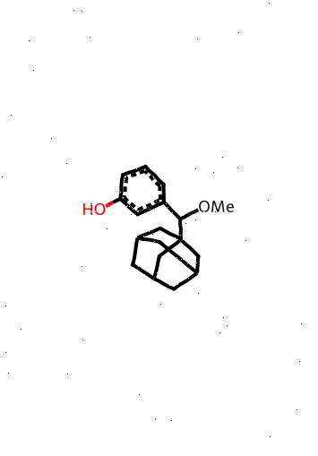 COC(c1cccc(O)c1)C12CC3CC(CC(C3)C1)C2